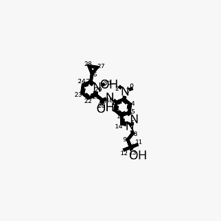 CN(C)c1cc2nn(CCC(C)(C)O)cc2cc1NC(=O)c1cccc(C2CC2)[n+]1O